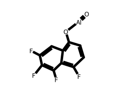 [O]=[Al][O]c1ccc(F)c2c(F)c(F)c(F)cc12